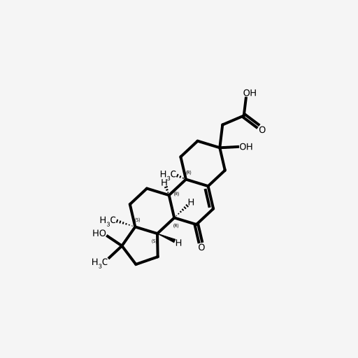 CC1(O)CC[C@H]2[C@@H]3C(=O)C=C4CC(O)(CC(=O)O)CC[C@]4(C)[C@@H]3CC[C@@]21C